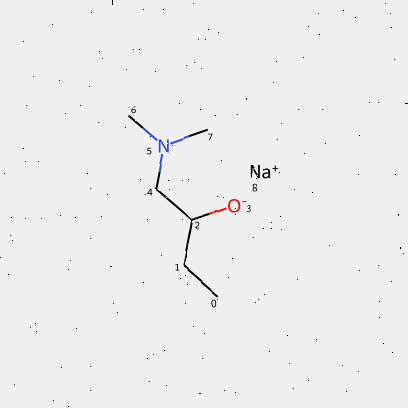 CCC([O-])CN(C)C.[Na+]